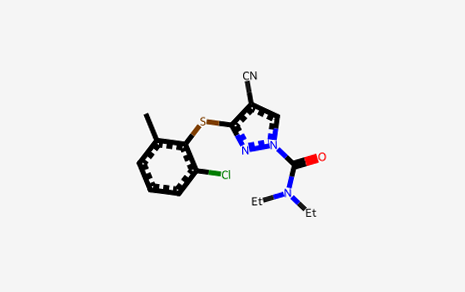 CCN(CC)C(=O)n1cc(C#N)c(Sc2c(C)cccc2Cl)n1